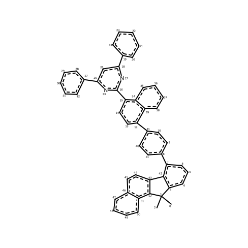 CC1(C)c2cccc(-c3ccc(-c4ccc(-c5nc(-c6ccccc6)cc(-c6ccccc6)n5)c5ccccc45)cc3)c2-c2ccc3ccccc3c21